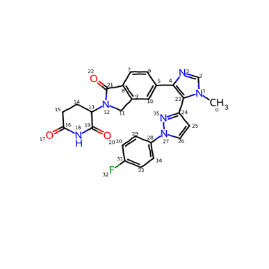 Cn1cnc(-c2ccc3c(c2)CN(C2CCC(=O)NC2=O)C3=O)c1-c1ccn(-c2ccc(F)cc2)n1